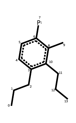 CCCc1ccc([P])c(C)c1CCC